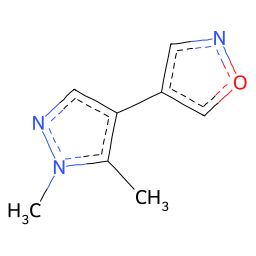 Cc1c(-c2cnoc2)cnn1C